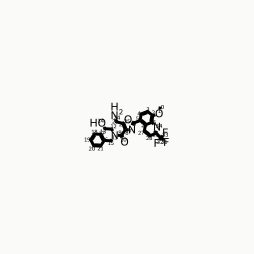 COc1ccc(-c2nc(C(=O)N(CCO)Cc3ccccc3)c(CN)o2)c2ccc(C(F)(F)F)nc12